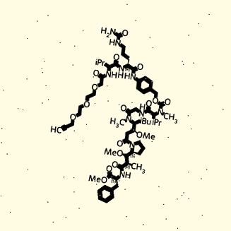 C#CCOCCOCCOCC(=O)NC(C(=O)N[C@H](CCCNC(N)=O)C(=O)Nc1ccc(COC(=O)N(C)C(C(=O)NCC(=O)N(C)C(C(C)CC)[C@@H](CC(=O)N2CCC[C@H]2[C@H](OC)[C@@H](C)C(=O)N[C@@H](Cc2ccccc2)C(=O)OC)OC)C(C)C)cc1)C(C)C